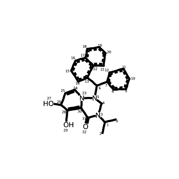 CC(C)N1CN(C(c2ccccc2)c2cccc3ccccc23)N2C=CC(O)C(O)=C2C1=O